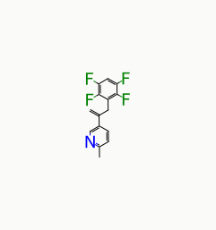 C=C(Cc1c(F)c(F)cc(F)c1F)c1ccc(C)nc1